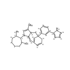 CCCCc1cn(C2C(CC)CCCCC2C(C)C)c(=O)n1CC1(c2cccc(-c3nnn[nH]3)c2)C=CN=CC1